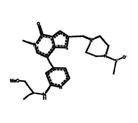 COCC(C)Nc1cc(-c2cn(C)c(=O)c3cc(CN4CCN([S+](C)[O-])CC4)sc23)ccn1